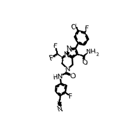 N#Cc1ccc(NC(=O)N2Cc3c(C(N)=O)c(-c4ccc(F)c(Cl)c4)nn3[C@H](C(F)F)C2)cc1F